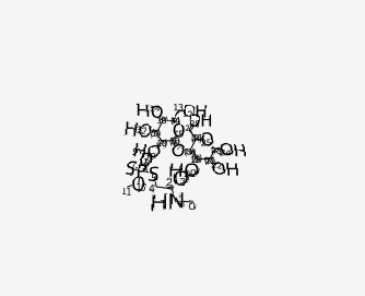 CNC(=O)CSP(=S)(OC)OC.OC[C@H]1O[C@@H](O[C@H]2[C@H](O)[C@@H](O)[C@H](O)O[C@@H]2CO)[C@H](O)[C@@H](O)[C@H]1O